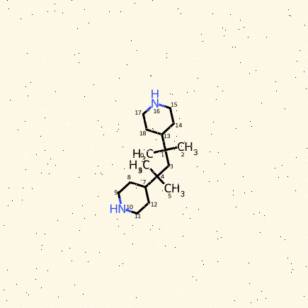 CC(C)(CC(C)(C)C1CCNCC1)C1CCNCC1